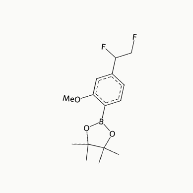 COc1cc(C(F)CF)ccc1B1OC(C)(C)C(C)(C)O1